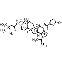 C=C(C)[C@@H]1CC[C@]2(CC(=O)N3CC[C@@H](O)C3)CC[C@]3(C)[C@H](CC[C@@H]4[C@@]5(C)CC[C@H](OC(=O)CC(C)(C)C(=O)O)C(C)(C)[C@@H]5CC[C@]43C)[C@@H]12